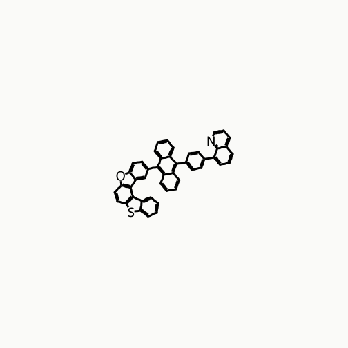 c1cnc2c(-c3ccc(-c4c5ccccc5c(-c5ccc6oc7ccc8sc9ccccc9c8c7c6c5)c5ccccc45)cc3)cccc2c1